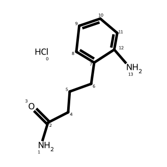 Cl.NC(=O)CCCc1ccccc1N